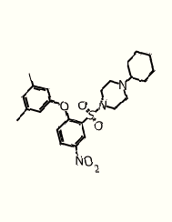 Cc1cc(C)cc(Oc2ccc([N+](=O)[O-])cc2S(=O)(=O)N2CCN(C3CCCCC3)CC2)c1